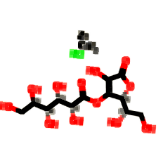 Cl.O=C1O[C@H]([C@@H](O)CO)C(OC(=O)[C@H](O)[C@@H](O)[C@H](O)[C@H](O)CO)=C1O.[CaH2].[Zn]